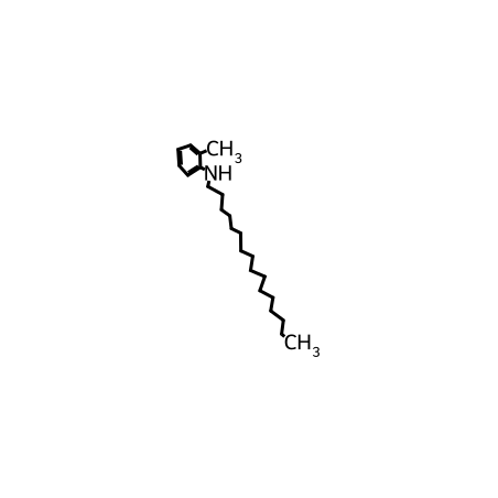 CCCCCCCCCCCCCCCCNc1ccccc1C